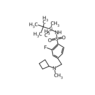 CN(Cc1ccc(S(=O)(=O)N[Si](C)(C)C(C)(C)C)c(F)c1)C1CCC1